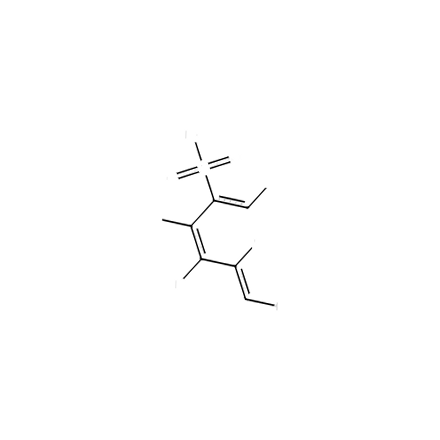 O=S(=O)(O)C(=C\F)/C(F)=C(F)\C(O)=C\F